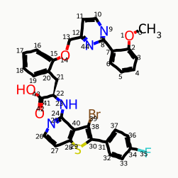 COc1ccccc1-c1nccc(COc2ccccc2C[C@@H](Nc2nccc3sc(-c4ccc(F)cc4)c(Br)c23)C(=O)O)n1